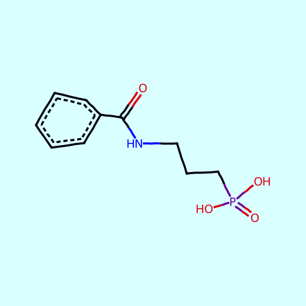 O=C(NCCCP(=O)(O)O)c1ccccc1